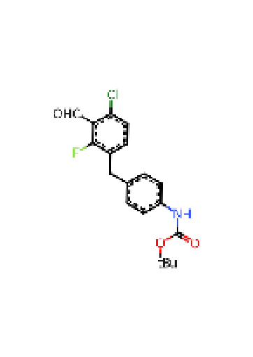 CC(C)(C)OC(=O)Nc1ccc(Cc2ccc(Cl)c(C=O)c2F)cc1